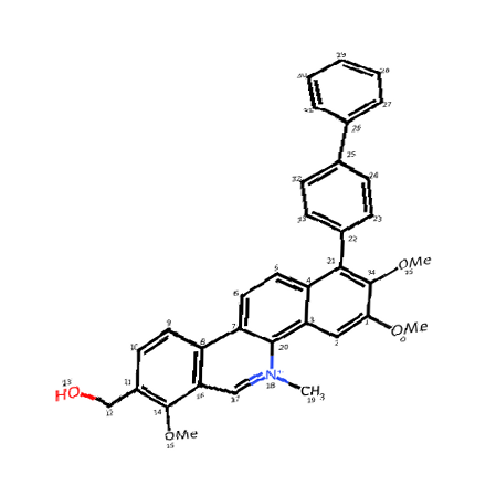 COc1cc2c(ccc3c4ccc(CO)c(OC)c4c[n+](C)c23)c(-c2ccc(-c3ccccc3)cc2)c1OC